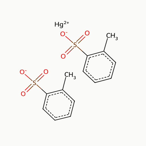 Cc1ccccc1S(=O)(=O)[O-].Cc1ccccc1S(=O)(=O)[O-].[Hg+2]